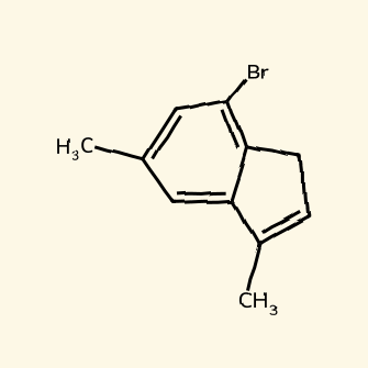 CC1=CCc2c(Br)cc(C)cc21